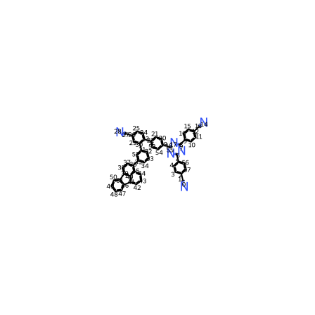 N#Cc1ccc(-c2nc(-c3ccc(C#N)cc3)nc(-c3ccc(-c4ccc(C#N)cc4-c4cccc(-c5ccc6c7c(cccc57)-c5ccccc5-6)c4)cc3)n2)cc1